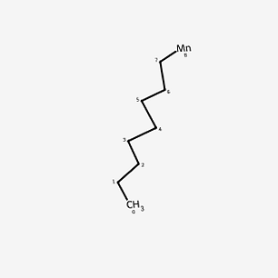 CCCCCCC[CH2][Mn]